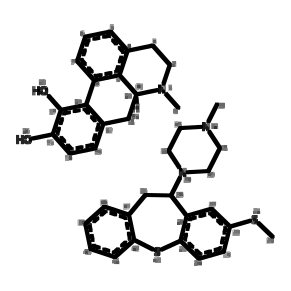 CN1CCc2cccc3c2[C@H]1Cc1ccc(O)c(O)c1-3.CSc1ccc2c(c1)C(N1CCN(C)CC1)Cc1ccccc1S2